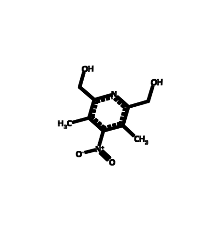 Cc1c(CO)nc(CO)c(C)c1[N+](=O)[O-]